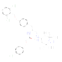 CC1(C)CC(NCC(Cc2ccc(OCc3c(Cl)cccc3Cl)cc2)NC(=O)COc2ccc(Cl)cc2)CC(C)(C)N1